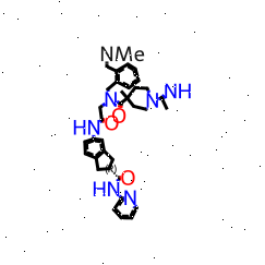 CNCc1ccccc1CN(CC(=O)Nc1ccc2c(c1)C[C@H](C(=O)Nc1ccccn1)C2)C(=O)C1(C)CCN(C(C)=N)CC1